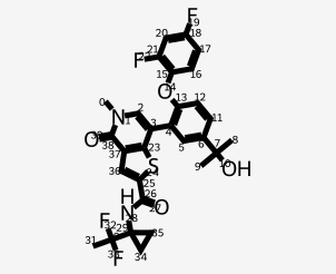 Cn1cc(-c2cc(C(C)(C)O)ccc2Oc2ccc(F)cc2F)c2sc(C(=O)NC3(C(C)(F)F)CC3)cc2c1=O